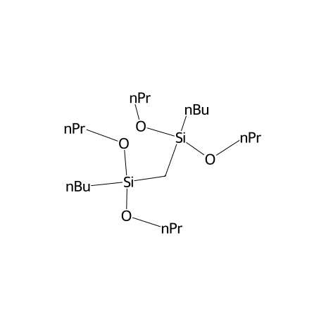 CCCC[Si](C[Si](CCCC)(OCCC)OCCC)(OCCC)OCCC